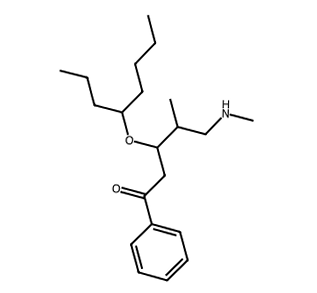 CCCCC(CCC)OC(CC(=O)c1ccccc1)C(C)CNC